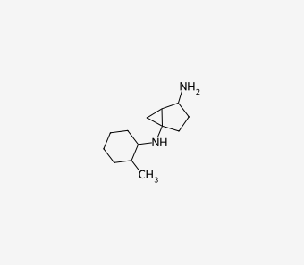 CC1CCCCC1NC12CCC(N)C1C2